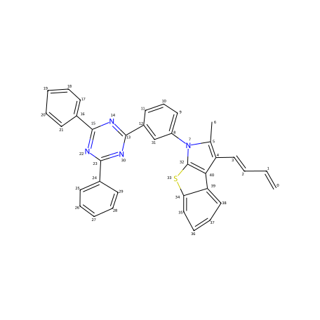 C=CC=Cc1c(C)n(-c2cccc(-c3nc(-c4ccccc4)nc(-c4ccccc4)n3)c2)c2sc3ccccc3c12